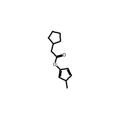 CC1C=CC(OC(=O)CC2CCCC2)=C1